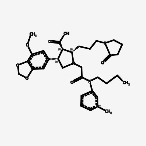 CCCCN(C(=O)CN1C[C@H](c2cc(OC)c3c(c2)OCO3)[C@@H](C(=O)O)[C@@H]1CCCN1CCCC1=O)c1ccc[n+](C)c1